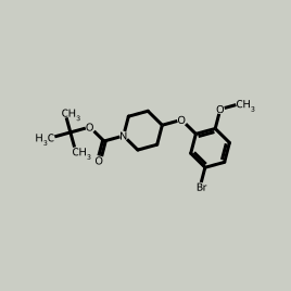 COc1ccc(Br)cc1OC1CCN(C(=O)OC(C)(C)C)CC1